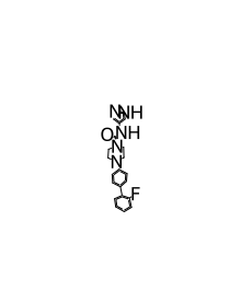 O=C(Nc1cn[nH]c1)N1CCN(c2ccc(-c3ccccc3F)cc2)CC1